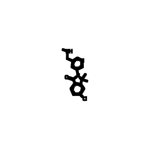 CNCc1cncc(N2C(=O)c3ccc(Cl)cc3C2(C)C)c1